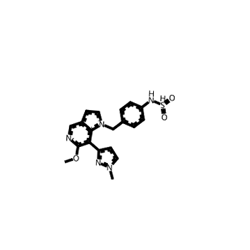 COc1ncc2ccn(Cc3ccc(N[SH](=O)=O)cc3)c2c1-c1ccn(C)n1